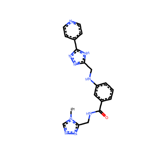 CC(C)n1cnnc1CNC(=O)c1cccc(NCc2nnc(-c3ccncc3)[nH]2)c1